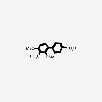 COc1ccc(-c2ccc(C(=O)O)cc2)c(OC)c1C(=O)O